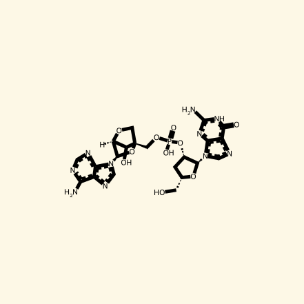 Nc1nc2c(ncn2[C@@H]2O[C@H](CO)C[C@@H]2OP(=O)(O)OC[C@]23CO[C@@H](C2O)[C@H](n2cnc4c(N)ncnc42)O3)c(=O)[nH]1